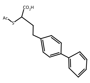 CC(=O)SC(CCc1ccc(-c2ccccc2)cc1)C(=O)O